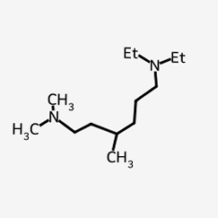 CCN(CC)CCCC(C)CCN(C)C